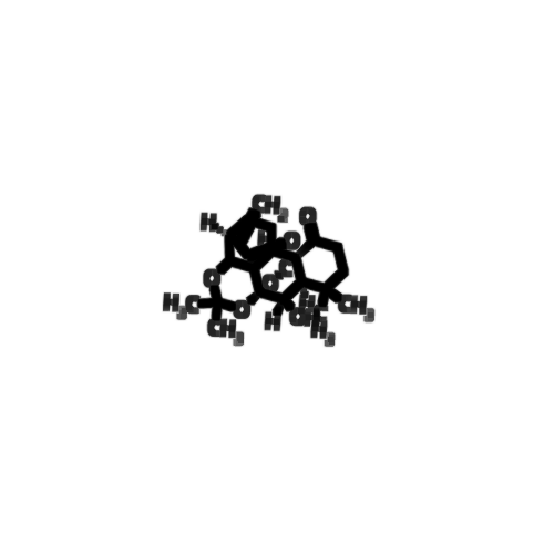 C=C1C(=O)[C@@]23C4OC(C)(C)O[C@]25OC[C@]2(C(=O)CCC(C)(C)[C@H]2[C@@H]5O)[C@@H]3CC[C@@H]14